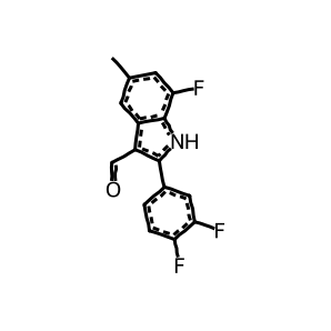 Cc1cc(F)c2[nH]c(-c3ccc(F)c(F)c3)c(C=O)c2c1